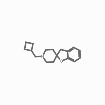 c1ccc2c(c1)CC1(CCN(CC3CCC3)CC1)O2